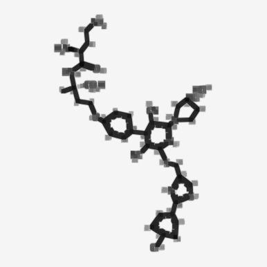 C[C@](CCOc1ccc(-c2c(C#N)c(SCc3csc(-c4ccc(Cl)cc4)n3)nc(N3CCCC3)c2C#N)cc1)(NC(=O)[C@@H](N)CCN)C(=O)O.Cl.Cl